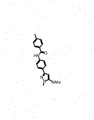 CNc1cc(-c2ccc(NC(=O)c3ccc(C)cc3)cc2)nn1C